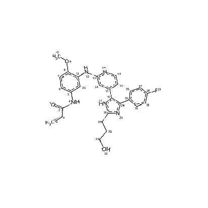 C=CC(=O)Nc1ccc(OC)c(Nc2cc(-c3[nH]c(CCCO)nc3-c3ccc(F)cc3)ccn2)c1